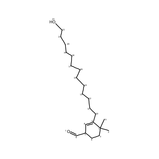 CC1(C)CCC(C=O)C=C1CCCCCCCCCCCCCO